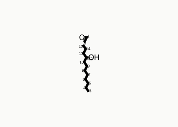 C1CO1.CCCCCCCCC(O)CCC